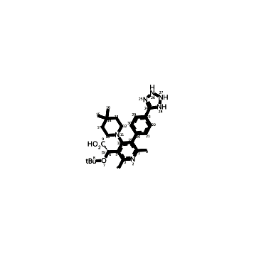 Cc1nc(C)c([C@H](OC(C)(C)C)C(=O)O)c(N2CCC(C)(C)CC2)c1-c1ccc(C2=NNNN2)cc1